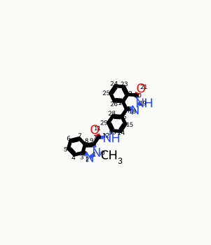 Cn1nc2ccccc2c1C(=O)Nc1ccc(-c2n[nH]c(=O)c3ccccc23)cc1